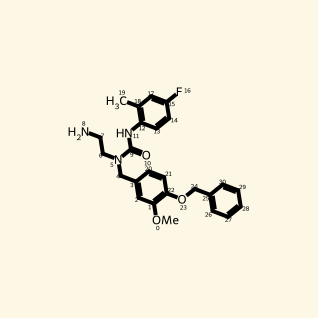 COc1cc(CN(CCN)C(=O)Nc2ccc(F)cc2C)ccc1OCc1ccccc1